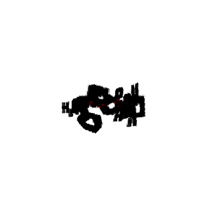 C[C@H](NC1CCN(S(=O)(=O)N2[C@@H]3CC[C@H]2C[C@@H](NC(=O)c2cc(C4CC4)on2)C3)CC1)c1ccccc1